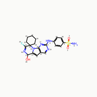 NS(=O)(=O)c1ccc(Nc2ncc3cc4n(c3n2)C2(CCCCC2)C(F)=NC4O)cc1